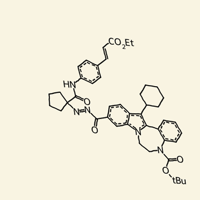 CCOC(=O)/C=C/c1ccc(NC(=O)C2(N=NC(=O)c3ccc4c(C5CCCCC5)c5n(c4c3)CCN(C(=O)OC(C)(C)C)c3ccccc3-5)CCCC2)cc1